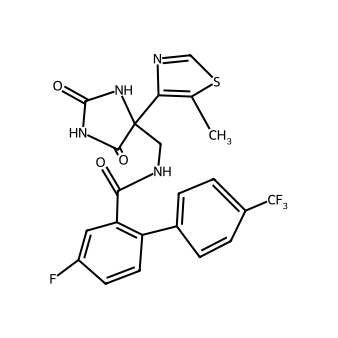 Cc1scnc1C1(CNC(=O)c2cc(F)ccc2-c2ccc(C(F)(F)F)cc2)NC(=O)NC1=O